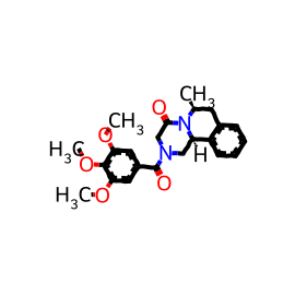 COc1cc(C(=O)N2CC(=O)N3[C@H](C2)c2ccccc2C[C@@H]3C)cc(OC)c1OC